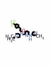 Cc1cc(Nc2cccc(CN(C(=O)C=Cc3ccc(C(F)(F)F)cc3)C3CCN(C(C)C)CC3)n2)ccn1